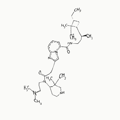 CC[C@@H]1C[C@H]([C@@H](C)CNC(=O)c2cccc3nc(CC(=O)N(CCN(C)C)C4CCNCC4(C)C)cn23)C1(C)C